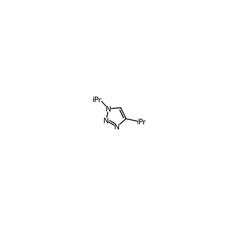 CC(C)c1cn(C(C)C)nn1